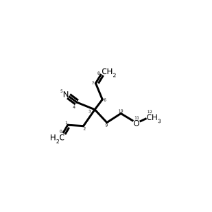 C=CCC(C#N)(CC=C)CCOC